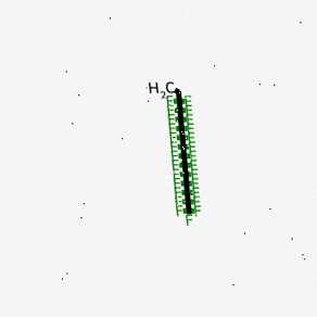 [CH2]CC(F)(F)C(F)(F)C(F)(F)C(F)(F)C(F)(F)C(F)(F)C(F)(F)C(F)(F)C(F)(F)C(F)(F)C(F)(F)C(F)(F)C(F)(F)F